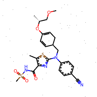 COC[C@@H](C)OC1=CCC(CN(c2ccc(C#N)cc2)c2nc(C(=O)NS(C)(=O)=O)c(C)s2)C=C1